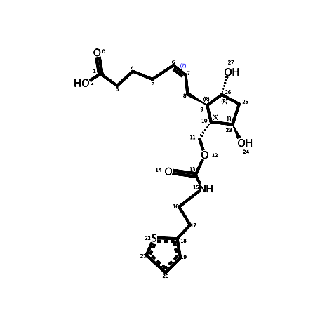 O=C(O)CCC/C=C\C[C@@H]1[C@@H](COC(=O)NCCc2cccs2)[C@H](O)C[C@H]1O